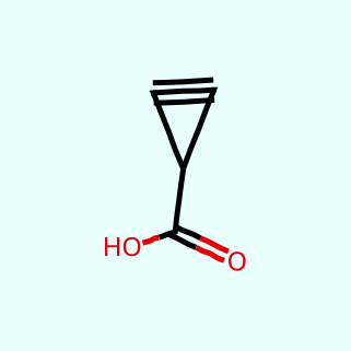 O=C(O)C1C#C1